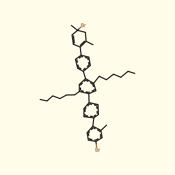 CCCCCCc1cc(-c2ccc(-c3ccc(Br)cc3C)cc2)c(CCCCCC)cc1-c1ccc(C2=C(C)CC(C)(Br)C=C2)cc1